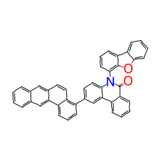 O=c1c2ccccc2c2cc(-c3cccc4c3ccc3cc5ccccc5cc34)ccc2n1-c1cccc2c1oc1ccccc12